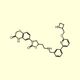 O=C1CSc2ccc(N3CC(CCNCc4cccc(-c5cccc(OCC6CCN6)n5)c4)OC3=O)cc2N1